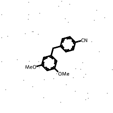 COc1cc(Cc2ccc(C#N)cc2)cc(OC)c1